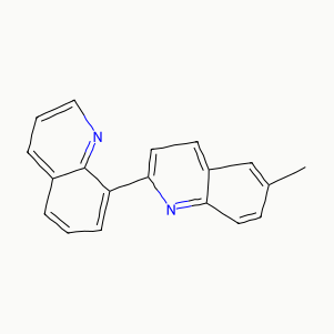 Cc1ccc2nc(-c3cccc4cccnc34)ccc2c1